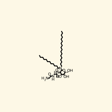 CCCCCCCCCCCCCCCCCCN(C(=O)CCCCCCCCCCC)[C@@H]1O[C@H](CO)[C@@H](O)[C@H](O)[C@H]1NC(=O)CNC(=O)CN